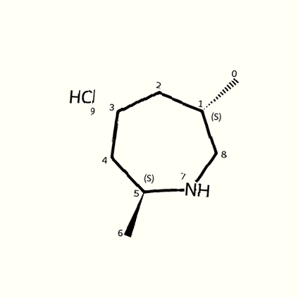 C[C@H]1CCC[C@H](C)NC1.Cl